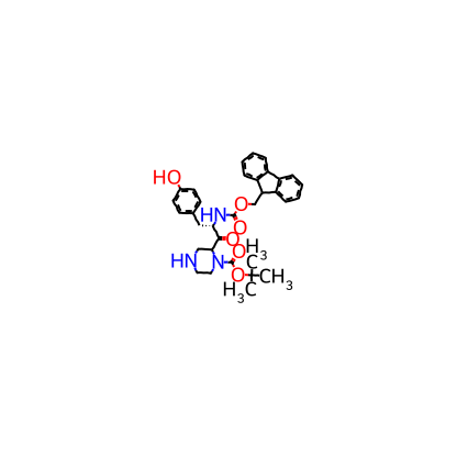 CC(C)(C)OC(=O)N1CCNCC1C(=O)[C@H](Cc1ccc(O)cc1)NC(=O)OCC1c2ccccc2-c2ccccc21